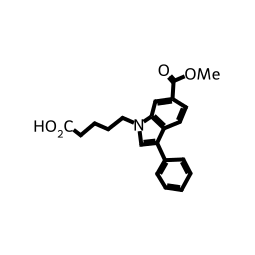 COC(=O)c1ccc2c(-c3ccccc3)cn(CCCCC(=O)O)c2c1